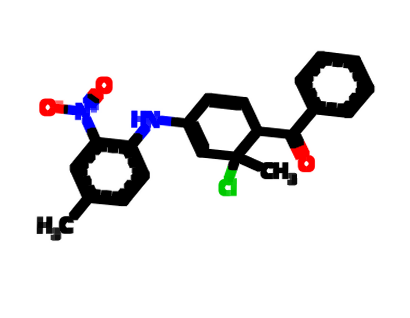 Cc1ccc(NC2=CC(C)(Cl)C(C(=O)c3ccccc3)C=C2)c([N+](=O)[O-])c1